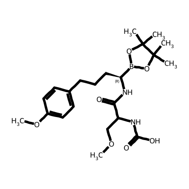 COCC(NC(=O)O)C(=O)N[C@@H](CCCc1ccc(OC)cc1)B1OC(C)(C)C(C)(C)O1